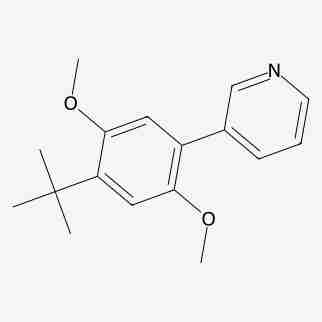 COc1cc(C(C)(C)C)c(OC)cc1-c1cccnc1